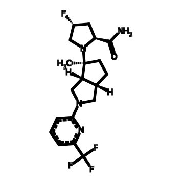 C[C@]1(N2C[C@H](F)C[C@H]2C(N)=O)CC[C@@H]2CN(c3cccc(C(F)(F)F)n3)C[C@@H]21